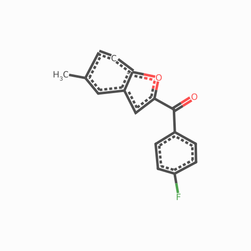 Cc1ccc2oc(C(=O)c3ccc(F)cc3)cc2c1